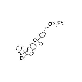 CCOC(=O)/C=C/c1ccc(C(=O)Oc2ccc(OC(CC)C(F)(F)C(F)(F)F)cc2)cc1